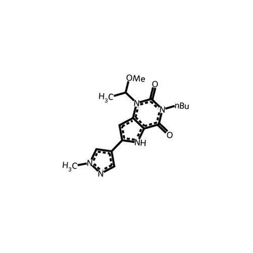 CCCCn1c(=O)c2[nH]c(-c3cnn(C)c3)cc2n(C(C)OC)c1=O